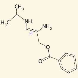 CC(C)N/C=C(\N)COC(=O)c1ccccc1